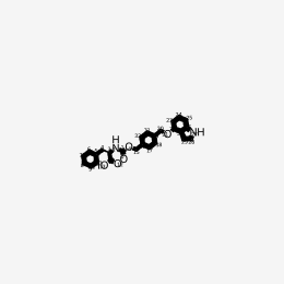 O=C(N[C@H](Cc1ccccc1)C(=O)O)OCc1ccc(COc2cccc3[nH]ccc23)cc1